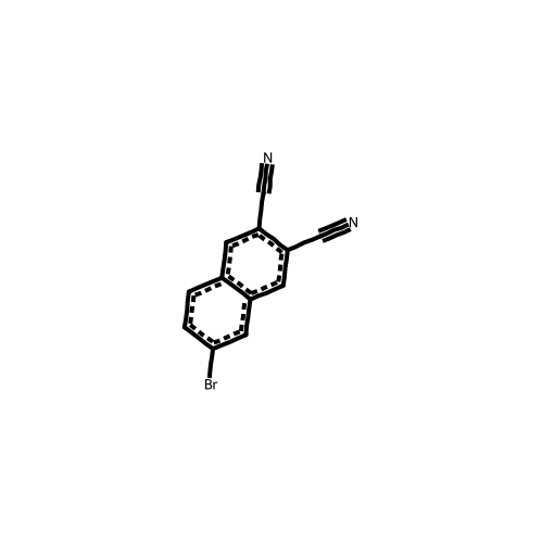 N#Cc1cc2ccc(Br)cc2cc1C#N